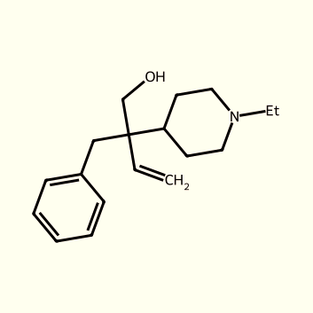 C=CC(CO)(Cc1ccccc1)C1CCN(CC)CC1